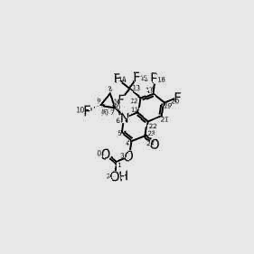 O=C(O)Oc1cn([C@@H]2C[C@H]2F)c2c(C(F)(F)F)c(F)c(F)cc2c1=O